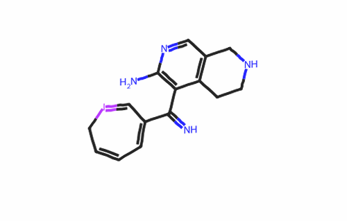 N=C(C1=CC=CCI=C1)c1c(N)ncc2c1CCNC2